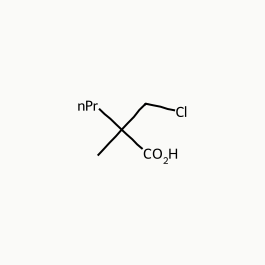 CCCC(C)(CCl)C(=O)O